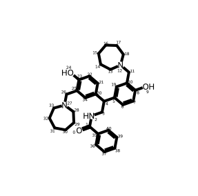 O=C(NCC(c1ccc(O)c(CN2CCCCCC2)c1)c1ccc(O)c(CN2CCCCCC2)c1)c1ccccc1